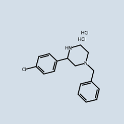 Cl.Cl.Clc1ccc(C2CN(Cc3ccccc3)CCN2)cc1